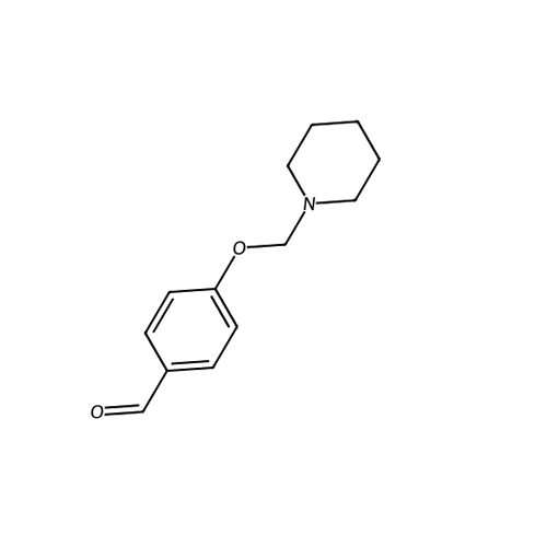 O=Cc1ccc(OCN2CCCCC2)cc1